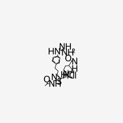 CNC(=O)C1CCN(Cc2sc(NC(C)=O)nc2CCc2ccc(NC(=N)N)cc2)CC1.Cl.Cl